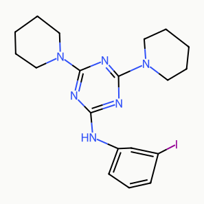 Ic1cccc(Nc2nc(N3CCCCC3)nc(N3CCCCC3)n2)c1